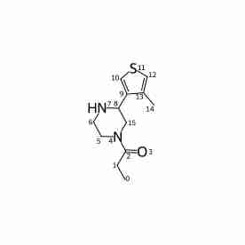 CCC(=O)N1CCNC(c2cscc2C)C1